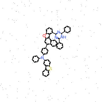 c1ccc(C2=NC(c3cccc4oc5cc(-c6ccc(N(c7ccccc7)c7ccc8sc9ccccc9c8c7)cc6)c6ccccc6c5c34)=NC(c3ccccc3)N2)cc1